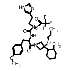 CCCOC1(C2CCCCC2C)CN(C(=O)C(Cc2ccc(OC)cc2)NC(=O)N(CCc2c[nH]cn2)OC(=O)C(F)(F)F)C1